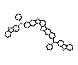 c1ccc(N(c2ccc3cc4c(cc3c2)oc2c4ccc3oc4cc5cc(N(c6ccccc6)c6ccc7c(c6)oc6ccccc67)ccc5cc4c32)c2ccc3c(c2)oc2ccccc23)cc1